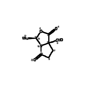 CC(C)(C)[C@H]1OC(=O)C2(C=O)CCC(=O)N12